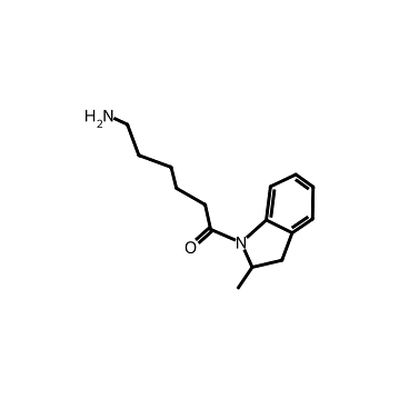 CC1Cc2ccccc2N1C(=O)CCCCCN